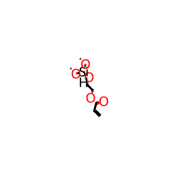 C=CC(=O)OCCO[SiH](OC)OC